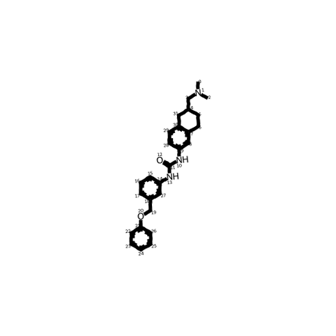 CN(C)CC1CCc2cc(NC(=O)Nc3cccc(COc4ccccc4)c3)ccc2C1